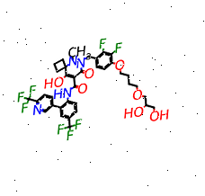 CN1N(Cc2ccc(OCCCCOC[C@H](O)CO)c(F)c2F)C(=O)C(C(=O)Nc2ccc(C(F)(F)F)cc2-c2ccc(C(F)(F)F)nc2)=C(O)C12CCC2